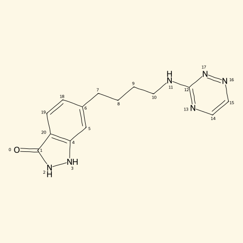 O=c1[nH][nH]c2cc(CCCCNc3nccnn3)ccc12